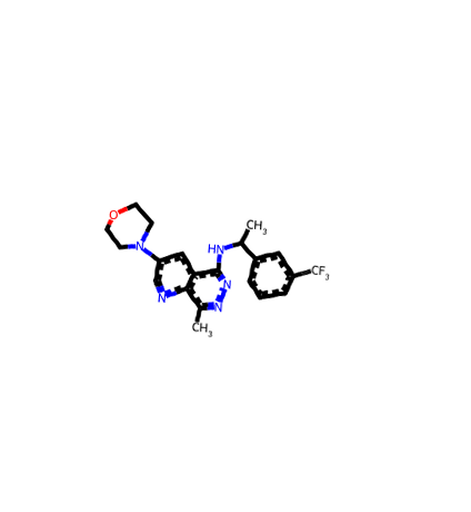 Cc1nnc(NC(C)c2cccc(C(F)(F)F)c2)c2cc(N3CCOCC3)cnc12